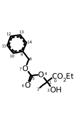 CCOC(=O)C(C)(O)OC(=O)OCc1ccccc1